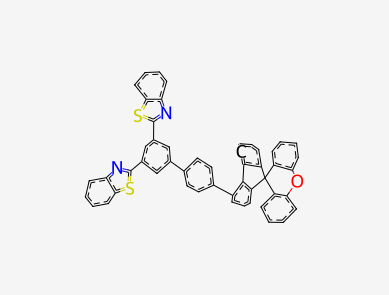 c1ccc2c(c1)Oc1ccccc1C21c2ccccc2-c2c(-c3ccc(-c4cc(-c5nc6ccccc6s5)cc(-c5nc6ccccc6s5)c4)cc3)cccc21